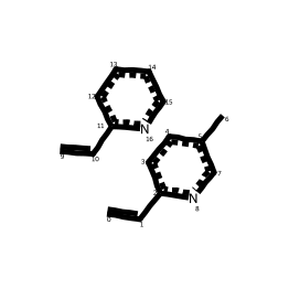 C=Cc1ccc(C)cn1.C=Cc1ccccn1